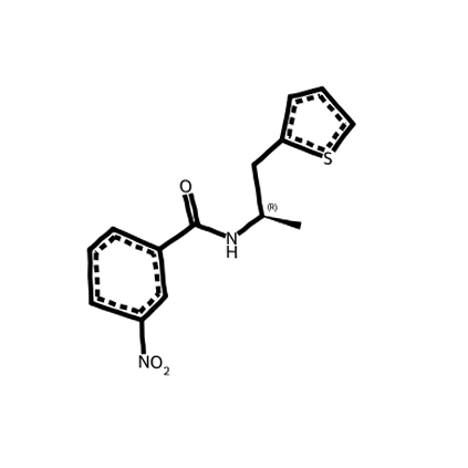 C[C@H](Cc1cccs1)NC(=O)c1cccc([N+](=O)[O-])c1